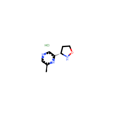 Cc1cncc([C@@H]2CCON2)n1.Cl